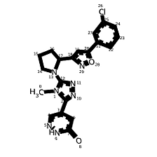 Cn1c(-c2cn[nH]c(=O)c2)nnc1N1CCCC1c1cc(-c2cccc(Cl)c2)on1